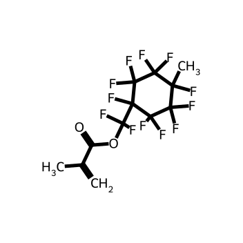 C=C(C)C(=O)OC(F)(F)C1(F)C(F)(F)C(F)(F)C(C)(F)C(F)(F)C1(F)F